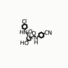 N#Cc1ccc(NC(=O)[C@H]2C[C@@H](O)CN2C(=O)Nc2ccc(Cl)cc2)cc1